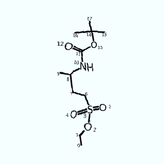 CCOS(=O)(=O)CC[C@@H](C)NC(=O)OC(C)(C)C